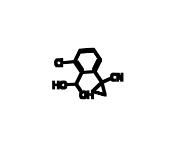 N#CC1(c2cccc(Cl)c2C(O)O)CC1